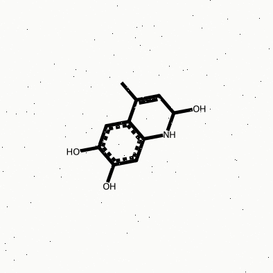 CC1=CC(O)Nc2cc(O)c(O)cc21